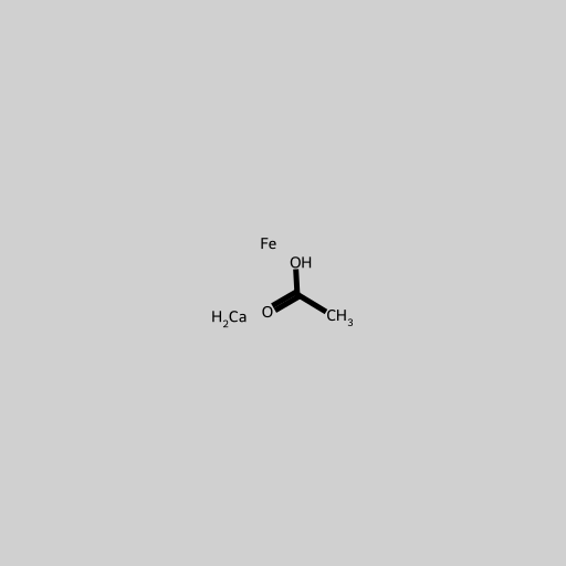 CC(=O)O.[CaH2].[Fe]